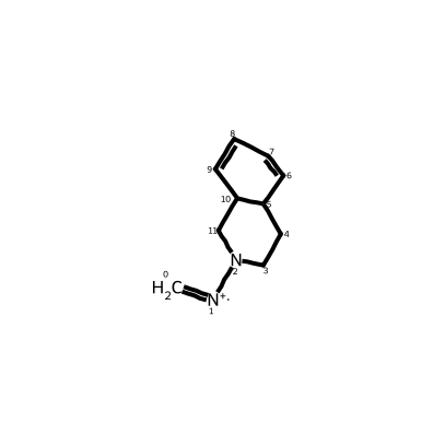 C=[N+]N1CCC2C=CC=CC2C1